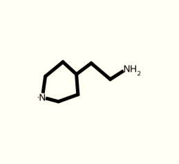 NCCC1CC[N]CC1